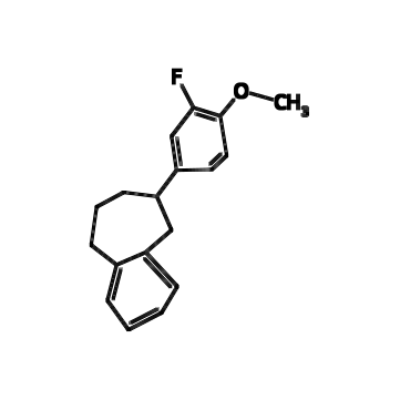 COc1ccc(C2CCCc3ccccc3C2)cc1F